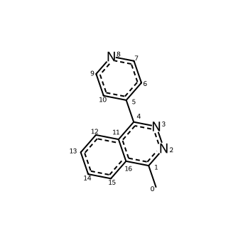 Cc1nnc(-c2ccncc2)c2ccccc12